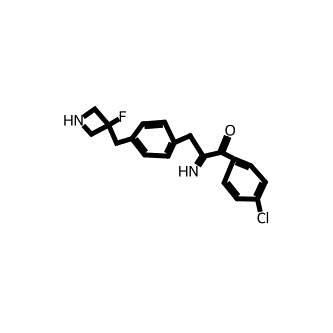 N=C(Cc1ccc(CC2(F)CNC2)cc1)C(=O)c1ccc(Cl)cc1